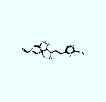 Cc1ncc(CCC(O)C(O)C(N)(CNC=O)C(=O)O)[nH]1